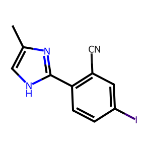 Cc1c[nH]c(-c2ccc(I)cc2C#N)n1